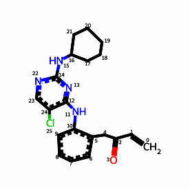 C=CC(=O)Cc1ccccc1Nc1nc(NC2CCCCC2)ncc1Cl